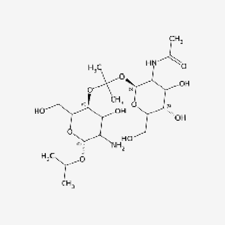 CC(=O)NC1C(O)[C@H](O)C(CO)O[C@H]1OC(C)(C)O[C@@H]1C(CO)O[C@@H](OC(C)C)C(N)C1O